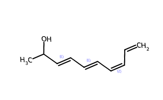 C=C\C=C/C=C/C=C/C(C)O